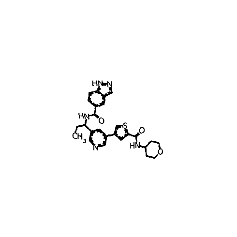 CCC(NC(=O)c1ccc2[nH]ncc2c1)c1cncc(-c2csc(C(=O)NC3CCOCC3)c2)c1